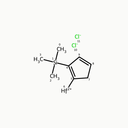 C[Si](C)(C)C1=[C]([Hf+2])CC=C1.[Cl-].[Cl-]